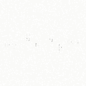 O=C(O)NN=NNC(=O)O